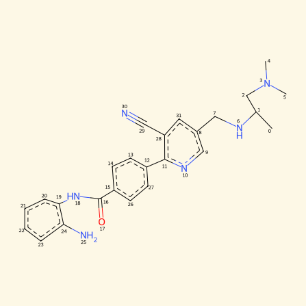 CC(CN(C)C)NCc1cnc(-c2ccc(C(=O)Nc3ccccc3N)cc2)c(C#N)c1